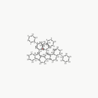 c1ccc(-c2nc(-c3ccccc3)nc(-n3c4ccccc4c4ccc5c6ccc7c(-c8ccccc8)ccnc7c6n(-c6ccccc6)c5c43)n2)cc1